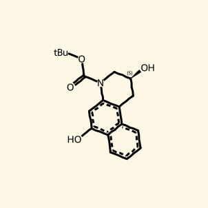 CC(C)(C)OC(=O)N1C[C@@H](O)Cc2c1cc(O)c1ccccc21